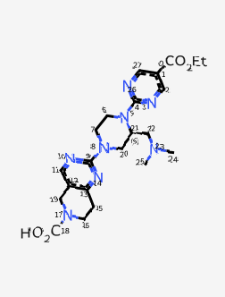 CCOC(=O)c1cnc(N2CCN(c3ncc4c(n3)CCN(C(=O)O)C4)C[C@@H]2CN(C)C)nc1